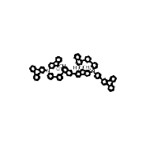 CC1(C)c2ccccc2-c2ccc(N(c3cccc(-c4cccc(-c5cccc6cc(-c7ccc8c(c7)C(C)(C)c7cc(N(c9ccc(-c%10ccc%11c%12ccccc%12c%12ccccc%12c%11c%10)cc9)c9cccc(-c%10cccc(-c%11cccc%12ccccc%11%12)c%10)c9)ccc7-8)ccc56)c4)c3)c3ccc4c5ccccc5c5ccccc5c4c3)cc21